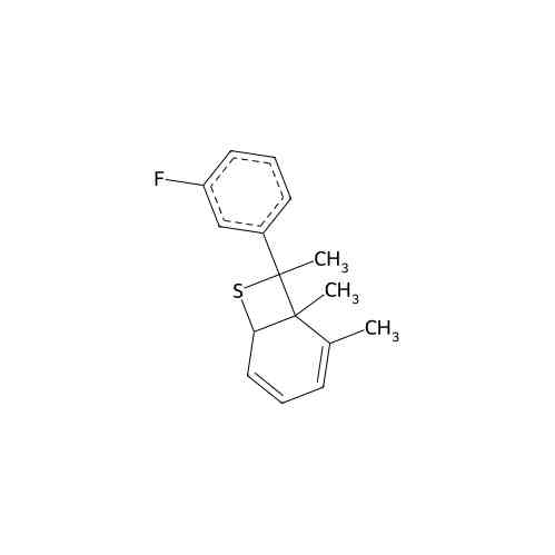 CC1=CC=CC2SC(C)(c3cccc(F)c3)C12C